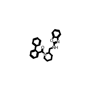 O=C(c1ccccc1-c1ccccc1)N1CCCCC1CNc1nc2ccccc2o1